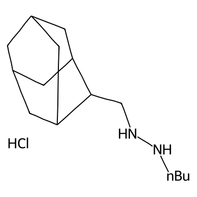 CCCCNNCC1C2CC3CC(C2)CC1C3.Cl